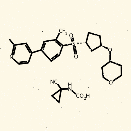 Cc1cc(-c2ccc(S(=O)(=O)[C@@H]3CC[C@@H](OC4CCOCC4)C3)c(C(F)(F)F)c2)ccn1.N#CC1(NC(=O)O)CC1